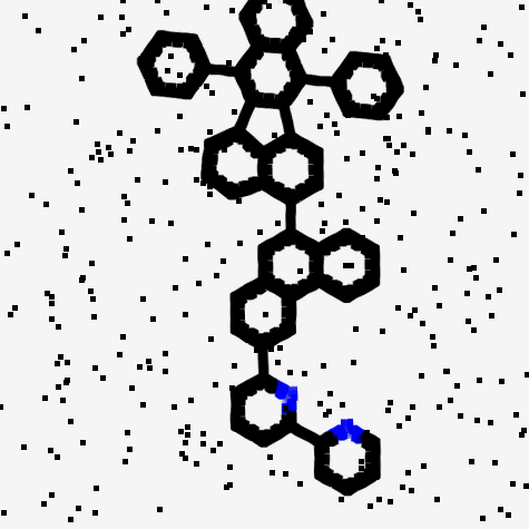 c1ccc(-c2c3c(c(-c4ccccc4)c4ccccc24)-c2ccc(-c4cc5ccc(-c6cccc(-c7ccccn7)n6)cc5c5ccccc45)c4cccc-3c24)cc1